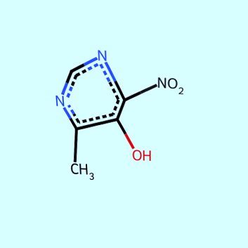 Cc1ncnc([N+](=O)[O-])c1O